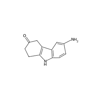 Nc1ccc2[nH]c3c(c2c1)CC(=O)CC3